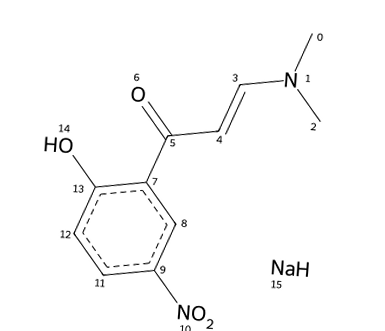 CN(C)C=CC(=O)c1cc([N+](=O)[O-])ccc1O.[NaH]